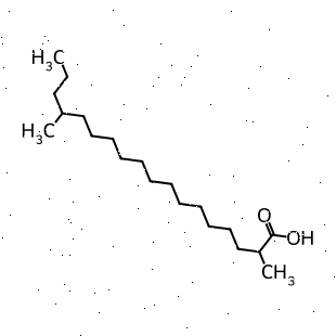 CCCC(C)CCCCCCCCCCCCC(C)C(=O)O